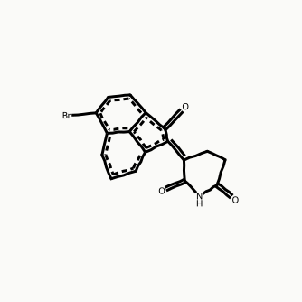 O=C1CC/C(=c2\c(=O)c3ccc(Br)c4cccc2c43)C(=O)N1